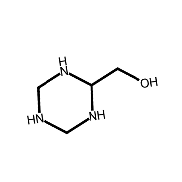 OCC1NCNCN1